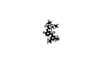 CC(C)(C)OC(=O)NC(Cc1cc(C(=O)c2cc(C(F)(F)F)cc(C(F)(F)F)c2)ccc1F)C(=O)OC(C)(C)C